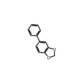 c1ccc(-c2ccc3c(c2)OCO3)cc1